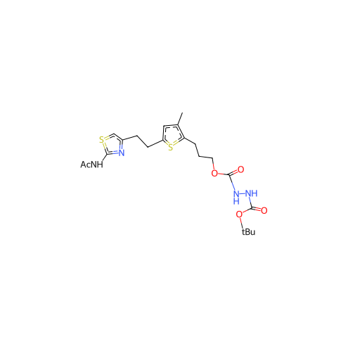 CC(=O)Nc1nc(CCc2cc(C)c(CCCOC(=O)NNC(=O)OC(C)(C)C)s2)cs1